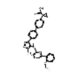 COc1ccccc1-c1cccc(Nc2c(C)noc2-c2ccc(-c3ccc(C4(C(=O)O)CC4)cc3)cc2)n1